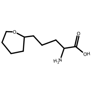 NC(CCCC1CCCCO1)C(=O)O